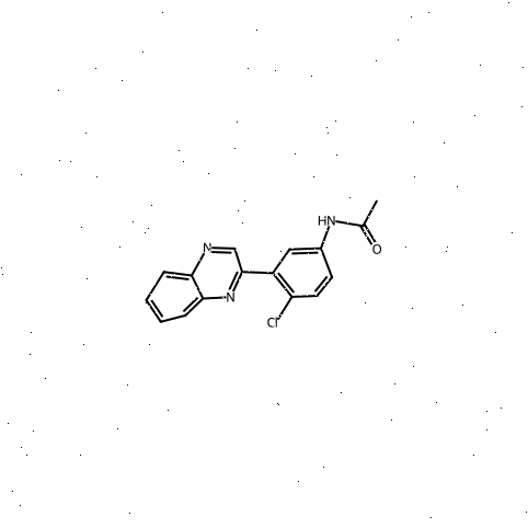 CC(=O)Nc1ccc(Cl)c(-c2cnc3ccccc3n2)c1